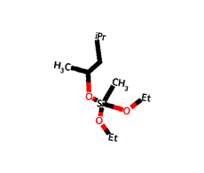 CCO[Si](C)(OCC)OC(C)CC(C)C